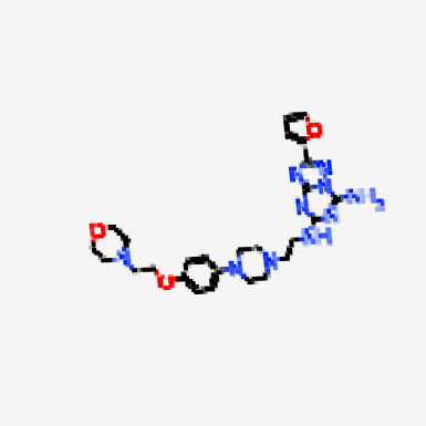 Nc1nc(NCCN2CCN(c3ccc(OCCN4CCOCC4)cc3)CC2)nc2nc(-c3ccco3)nn12